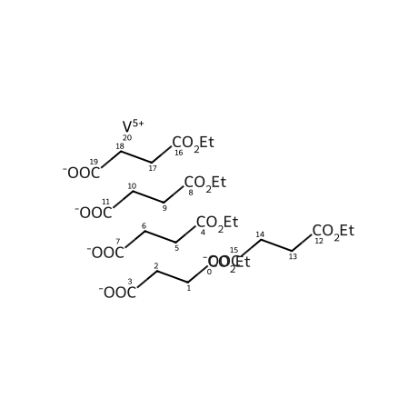 CCOC(=O)CCC(=O)[O-].CCOC(=O)CCC(=O)[O-].CCOC(=O)CCC(=O)[O-].CCOC(=O)CCC(=O)[O-].CCOC(=O)CCC(=O)[O-].[V+5]